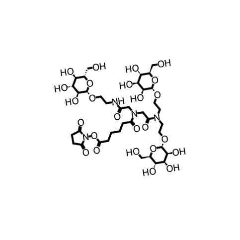 O=C(CN(CC(=O)N(CCO[C@H]1O[C@H](CO)[C@@H](O)[C@H](O)[C@@H]1O)CCO[C@H]1O[C@H](CO)[C@@H](O)[C@H](O)[C@@H]1O)C(=O)CCCCC(=O)ON1C(=O)CCC1=O)NCCO[C@H]1O[C@@H](CO)[C@H](O)[C@@H](O)[C@@H]1O